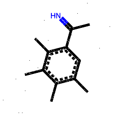 CC(=N)c1cc(C)c(C)c(C)c1C